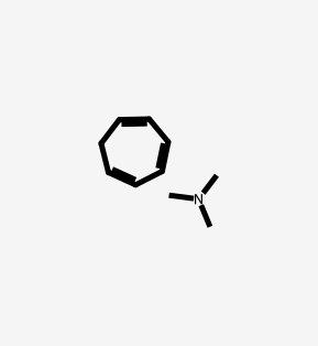 C1=CC=CCC=C1.CN(C)C